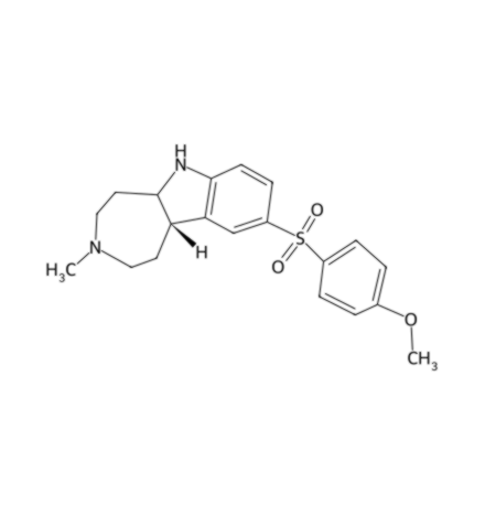 COc1ccc(S(=O)(=O)c2ccc3c(c2)[C@@H]2CCN(C)CCC2N3)cc1